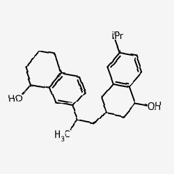 CC(C)c1ccc2c(c1)CC(CC(C)c1ccc3c(c1)C(O)CCC3)CC2O